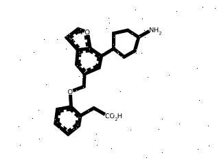 NC1CCC(c2cc(COc3ccccc3CC(=O)O)cc3ccoc23)CC1